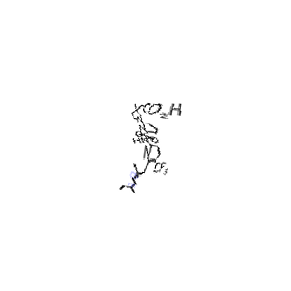 C=C/C(C)=C\C=C(\C)Cc1nc(NS(=O)(=O)c2cccc(N3CCC(C)(CC(=O)O)C3)n2)ccc1C(F)(F)F